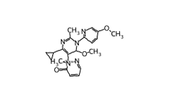 COc1ccc(N2C(C)=NC(C3CC3)=C([N@+]3(C)N=CC=CC3=O)C2OC)nc1